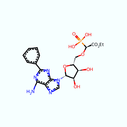 CCOC(=O)[C@@H](OC[C@H]1O[C@@H](n2cnc3c(N)nc(-c4ccccc4)nc32)[C@H](O)[C@@H]1O)P(=O)(O)O